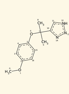 COc1ccc(OC(C)(C)c2c[nH]nn2)cc1